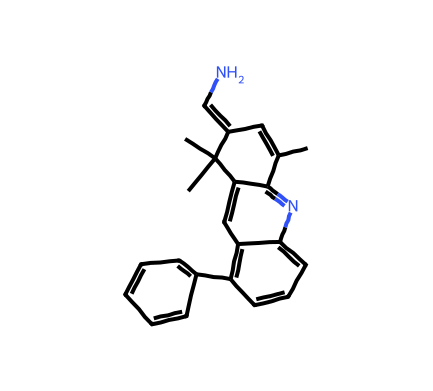 CC1=C/C(=C\N)C(C)(C)c2cc3c(-c4ccccc4)cccc3nc21